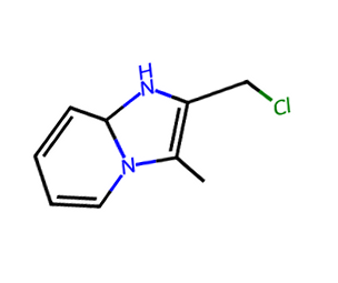 CC1=C(CCl)NC2C=CC=CN12